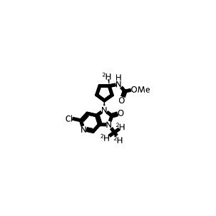 [2H]C([2H])([2H])n1c(=O)n([C@@H]2CC[C@@]([2H])(NC(=O)OC)C2)c2cc(Cl)ncc21